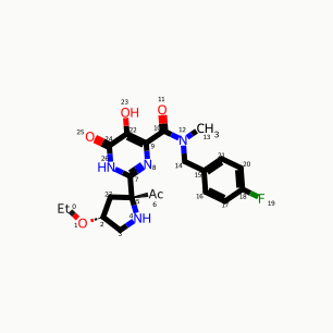 CCO[C@H]1CN[C@@](C(C)=O)(c2nc(C(=O)N(C)Cc3ccc(F)cc3)c(O)c(=O)[nH]2)C1